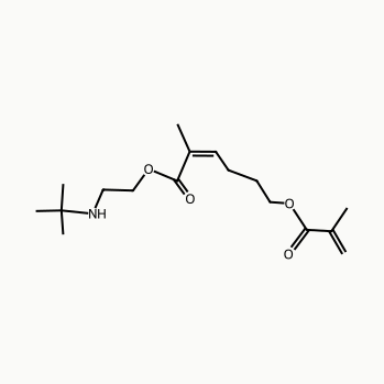 C=C(C)C(=O)OCCCC=C(C)C(=O)OCCNC(C)(C)C